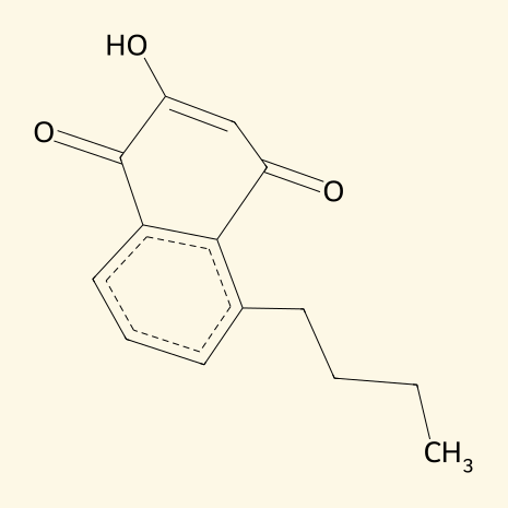 CCCCc1cccc2c1C(=O)C=C(O)C2=O